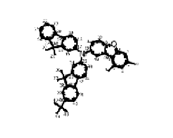 Cc1cc(C)c2c(c1)oc1ccc(N(c3ccc4c(c3)C(C)(C)c3ccccc3-4)c3ccc4c(c3)C(C)(C)c3cc(C(C)(C)C)ccc3-4)cc12